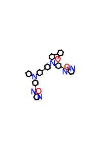 c1ccc(N(c2ccc(-c3ccc(N(c4ccc(-c5nc6cccnc6o5)cc4)c4cccc5c4oc4ccccc45)cc3)cc2)c2ccc(-c3nc4cccnc4o3)cc2)cc1